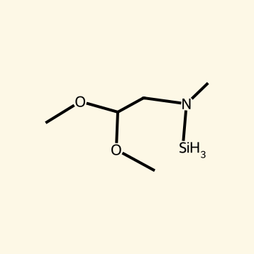 COC(CN(C)[SiH3])OC